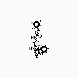 COC(=O)C1(c2ccccc2)CNC(CCNC(=O)OCc2ccccc2)=N1